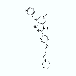 CN1CC2=C(NN=C(c3ccc(OCCCN4CCCCC4)cc3)N2)N(Cc2cccnc2)C1